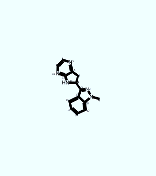 Cn1nc(C2Cc3nccnc3N2)c2ccccc21